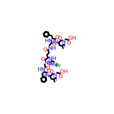 CC(C)CC(NC(=O)C(Cc1ccccc1)NC(=O)CNC(=O)CCC(NC(=O)CNBr)C(=O)NCC(=O)NC(Cc1ccccc1)C(=O)NC(CC(C)C)C(=O)NCC(=O)O)C(=O)NCC(=O)O